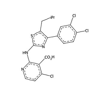 CC(C)Cc1sc(Nc2nccc(Cl)c2C(=O)O)nc1-c1ccc(Cl)c(Cl)c1